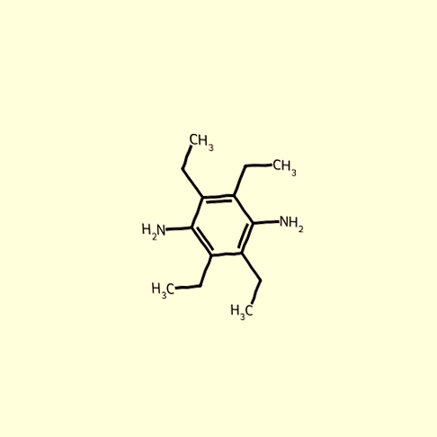 CCc1c(N)c(CC)c(CC)c(N)c1CC